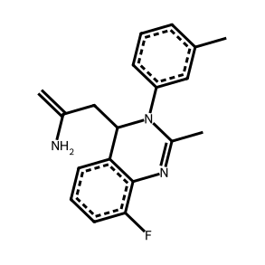 C=C(N)CC1c2cccc(F)c2N=C(C)N1c1cccc(C)c1